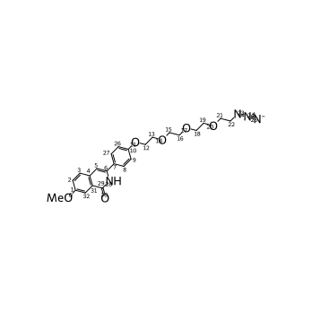 COc1ccc2cc(-c3ccc(OCCOCCOCCOCCN=[N+]=[N-])cc3)[nH]c(=O)c2c1